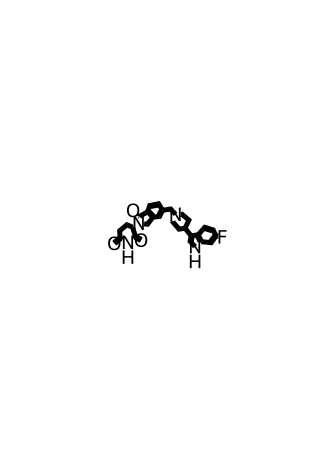 O=C1CCC(N2Cc3cc(CN4CCC(c5c[nH]c6cc(F)ccc56)CC4)ccc3C2=O)C(=O)N1